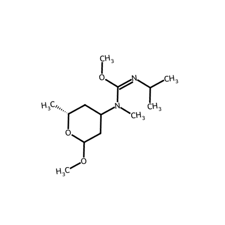 CO/C(=N/C(C)C)N(C)C1CC(OC)O[C@H](C)C1